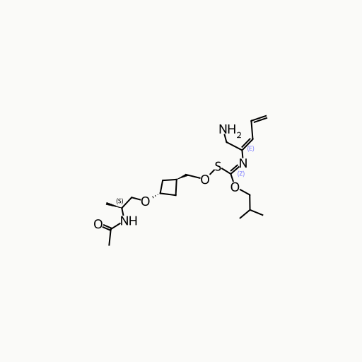 C=C/C=C(CN)/N=C(/OCC(C)C)SOC[C@H]1C[C@H](OC[C@H](C)NC(C)=O)C1